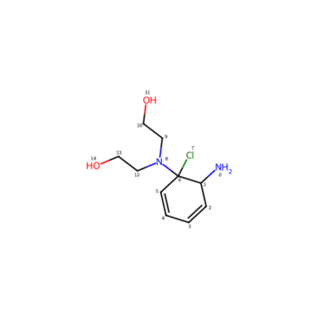 NC1C=CC=CC1(Cl)N(CCO)CCO